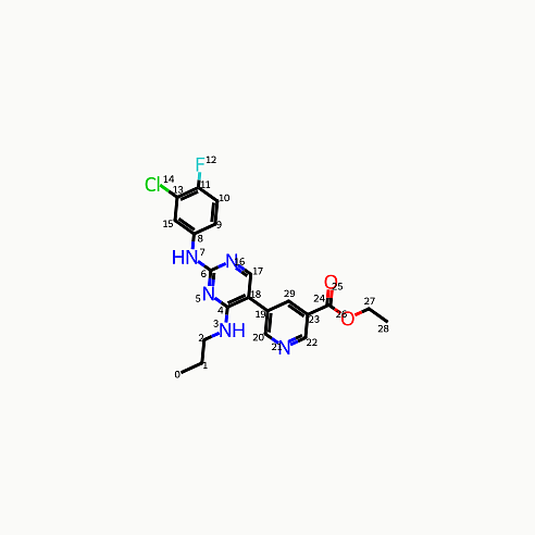 CCCNc1nc(Nc2ccc(F)c(Cl)c2)ncc1-c1cncc(C(=O)OCC)c1